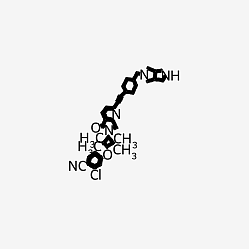 CC1(C)[C@H](Oc2ccc(C#N)c(Cl)c2)C(C)(C)[C@H]1N1Cc2nc(C#CC3CCC(CN4CC5CNCC5C4)CC3)ccc2C1=O